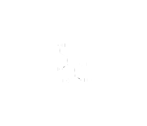 O=C[C@@H](O)[C@@H](O)[C@@H](O)CCO